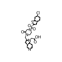 O=C(O)Cn1c(CN2CCN(S(=O)(=O)c3cc4ccc(Cl)cc4s3)CC2=O)cc2cnccc21